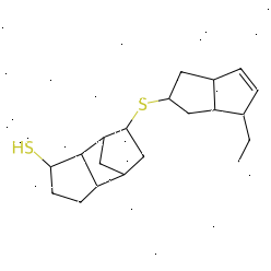 CCC1C=CC2CC(SC3CC4CC3C3C(S)CCC43)CC12